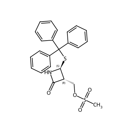 CS(=O)(=O)OC[C@@H]1C(=O)N[C@H]1SC(c1ccccc1)(c1ccccc1)c1ccccc1